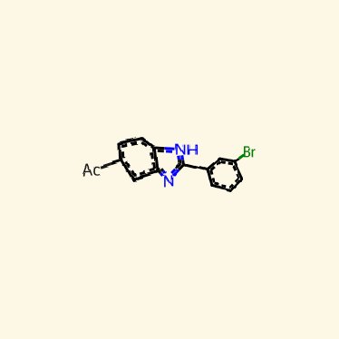 CC(=O)c1ccc2[nH]c(-c3cccc(Br)c3)nc2c1